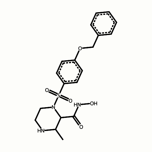 CC1NCCN(S(=O)(=O)c2ccc(OCc3ccccc3)cc2)C1C(=O)NO